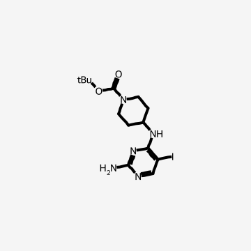 CC(C)(C)OC(=O)N1CCC(Nc2nc(N)ncc2I)CC1